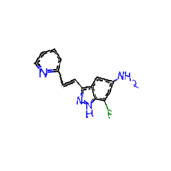 Nc1cc(F)c2[nH]nc(C=Cc3ccccn3)c2c1